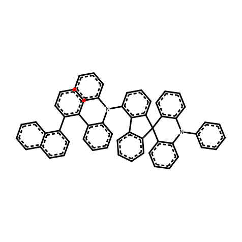 c1ccc(N2c3ccccc3C3(c4ccccc4-c4c(N(c5ccccc5)c5ccccc5-c5ccccc5-c5cccc6ccccc56)cccc43)c3ccccc32)cc1